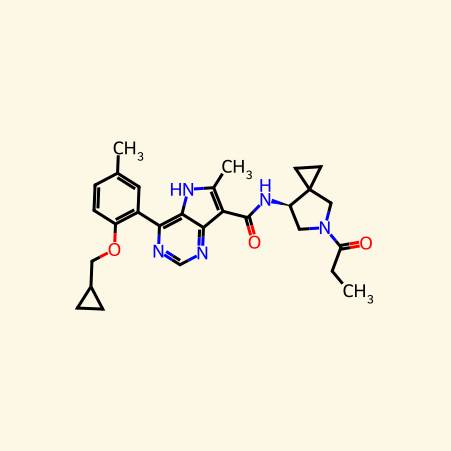 CCC(=O)N1C[C@@H](NC(=O)c2c(C)[nH]c3c(-c4cc(C)ccc4OCC4CC4)ncnc23)C2(CC2)C1